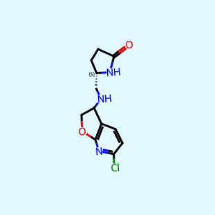 O=C1CC[C@@H](CNC2COc3nc(Cl)ccc32)N1